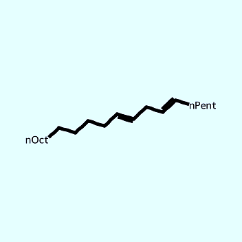 [CH2]CCCCCCCCCCCC=CCC=CCCCCC